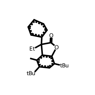 CCC1(c2ccccc2)C(=O)Oc2c(C(C)(C)C)cc(C(C)(C)C)c(C)c21